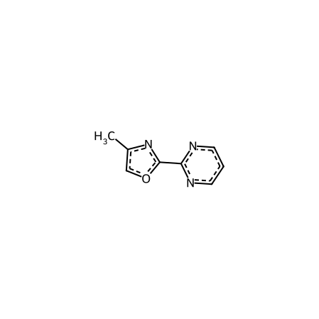 Cc1coc(-c2ncccn2)n1